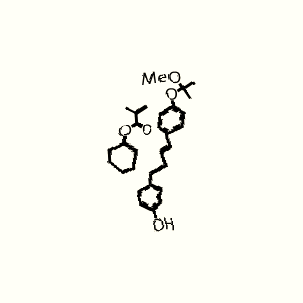 C=C(C)C(=O)OC1CCCCC1.COC(C)(C)Oc1ccc(C=CC=Cc2ccc(O)cc2)cc1